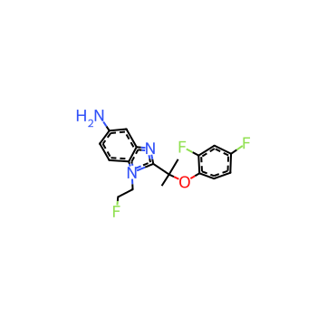 CC(C)(Oc1ccc(F)cc1F)c1nc2cc(N)ccc2n1CCF